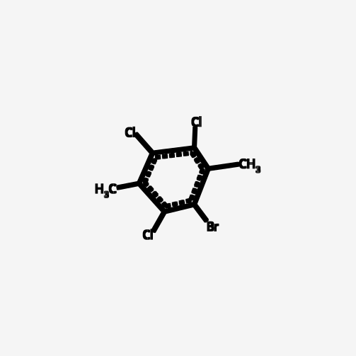 Cc1c(Cl)c(Cl)c(C)c(Br)c1Cl